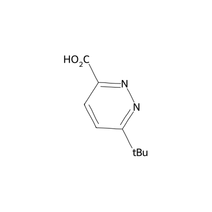 CC(C)(C)c1ccc(C(=O)O)nn1